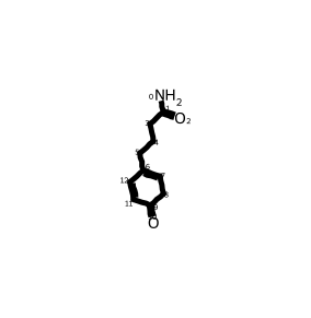 NC(=O)CCCC1=CCC(=O)C=C1